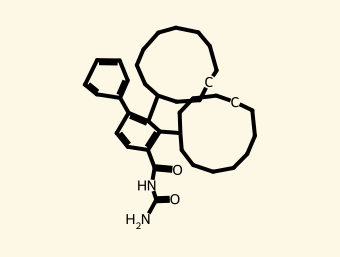 NC(=O)NC(=O)c1ccc(-c2ccccc2)c(C2CCCCCCCCCCC2)c1C1CCCCCCCCCCC1